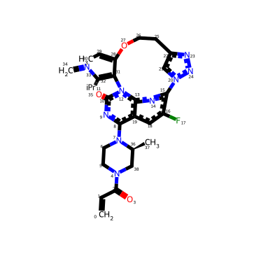 C=CC(=O)N1CCN(c2nc(=O)n3c4nc(c(F)cc24)-n2cc(nn2)CCOC(=C/C)/C3=C(\N=C)C(C)C)[C@@H](C)C1